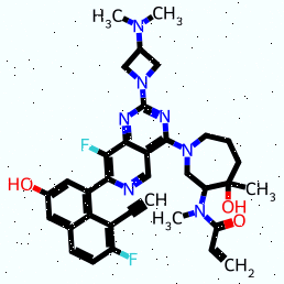 C#Cc1c(F)ccc2cc(O)cc(-c3ncc4c(N5CCCC(C)(O)C(N(C)C(=O)C=C)C5)nc(N5CC(N(C)C)C5)nc4c3F)c12